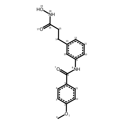 COc1ccc(C(=O)Nc2cccc(CCC(=O)NO)c2)cc1